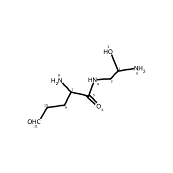 NC(O)CNC(=O)C(N)CCC=O